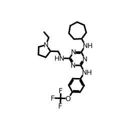 CCN1CCCC1CNc1nc(Nc2ccc(OC(F)(F)F)cc2)nc(NC2CCCCCC2)n1